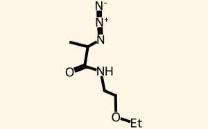 CCOCCNC(=O)C(C)N=[N+]=[N-]